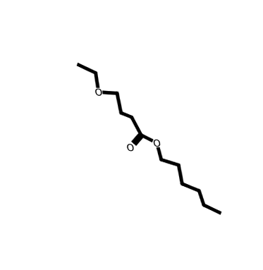 CCCCCCOC(=O)CCCOCC